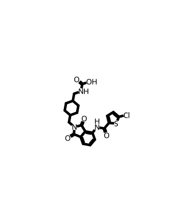 O=C(O)NCC1CCC(CN2C(=O)c3cccc(NC(=O)c4ccc(Cl)s4)c3C2=O)CC1